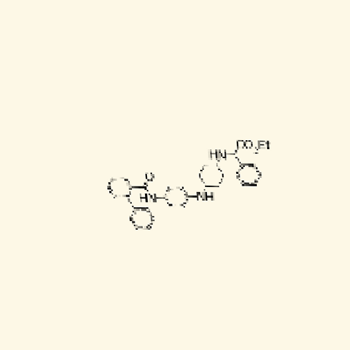 CCOC(=O)C(NC1CCC(Nc2ccc(NC(=O)c3ccccc3-c3ccccc3)cc2)CC1)c1ccccc1